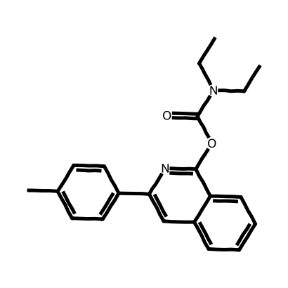 CCN(CC)C(=O)Oc1nc(-c2ccc(C)cc2)cc2ccccc12